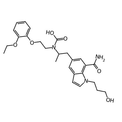 CCOc1ccccc1OCCN(C(=O)O)C(C)Cc1cc(C(N)=O)c2c(ccn2CCCO)c1